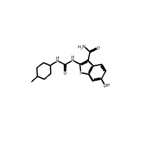 CC1CCC(NC(=O)Nc2sc3cc(O)ccc3c2C(N)=O)CC1